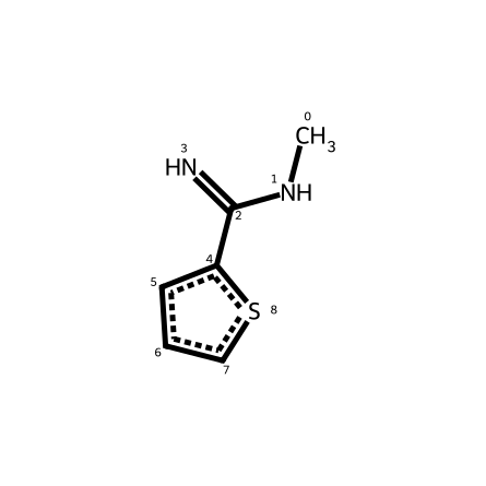 CNC(=N)c1cccs1